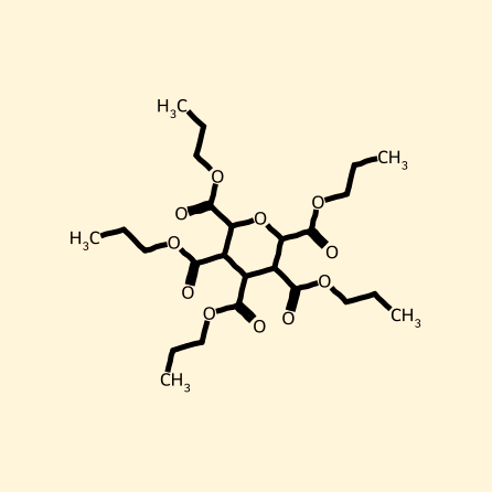 CCCOC(=O)C1OC(C(=O)OCCC)C(C(=O)OCCC)C(C(=O)OCCC)C1C(=O)OCCC